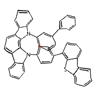 c1ccc(-c2cccc(-n3c4ccccc4c4ccc5c6ccccc6n(-c6ccc(-c7cccc8c7sc7ccccc78)cc6)c5c43)c2)cc1